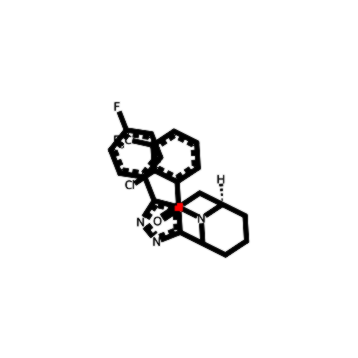 O=C(c1cccc(C(F)(F)F)c1Cl)N1C2CCC[C@@H]1Cn1c(-c3ccc(F)cc3)nnc12